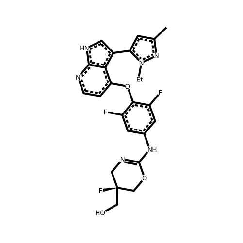 CCn1nc(C)cc1-c1c[nH]c2nccc(Oc3c(F)cc(NC4=NC[C@@](F)(CO)CO4)cc3F)c12